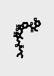 CCC(NC(=O)c1ccc2c(c1)/C(=C/c1[nH]c(C)c(CCC(=O)NCCN(CC)CC)c1C)C(=O)N2)c1cccc(Cl)c1